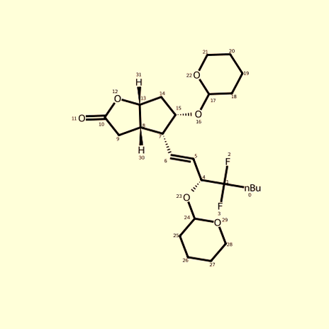 CCCCC(F)(F)[C@@H](/C=C/[C@@H]1[C@@H]2CC(=O)O[C@@H]2C[C@@H]1OC1CCCCO1)OC1CCCCO1